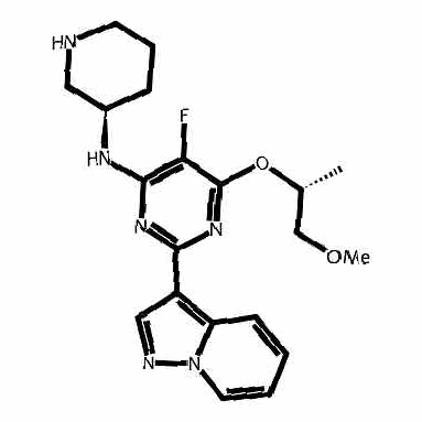 COC[C@@H](C)Oc1nc(-c2cnn3ccccc23)nc(N[C@@H]2CCCNC2)c1F